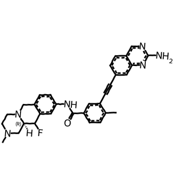 Cc1ccc(C(=O)Nc2ccc3c(c2)C(F)[C@H]2CN(C)CCN2C3)cc1C#Cc1ccc2cnc(N)nc2c1